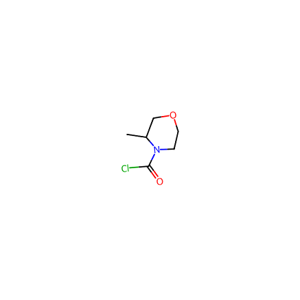 CC1COCCN1C(=O)Cl